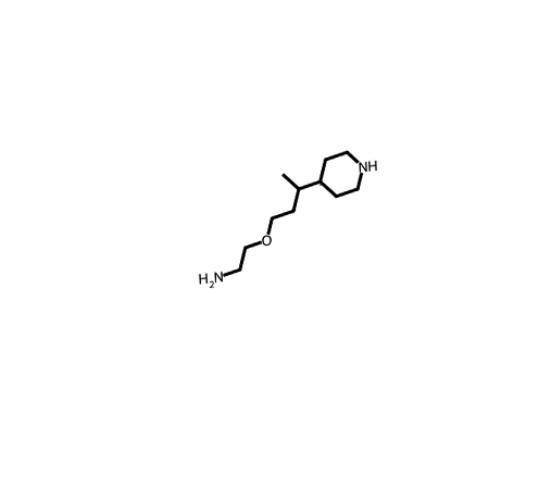 CC(CCOCCN)[C]1CCNCC1